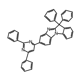 c1ccc(-c2cc(-c3ccc4c(c3)nc3n4-c4ccccc4C3(c3ccccc3)c3ccccc3)nc(-c3ccccc3)n2)cc1